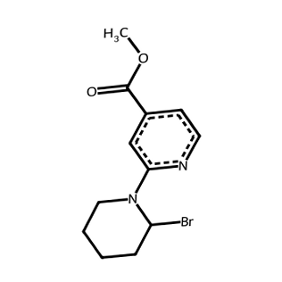 COC(=O)c1ccnc(N2CCCCC2Br)c1